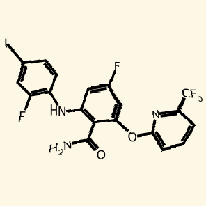 NC(=O)c1c(Nc2ccc(I)cc2F)cc(F)cc1Oc1cccc(C(F)(F)F)n1